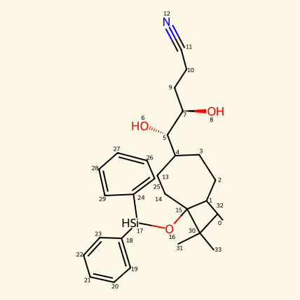 CC1CCC([C@H](O)[C@H](O)CCC#N)CCC1(O[SiH](c1ccccc1)c1ccccc1)C(C)(C)C